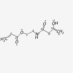 C=CC(=O)OCCNC(=O)CC(=C)O